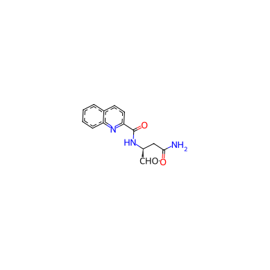 NC(=O)C[C@@H]([C]=O)NC(=O)c1ccc2ccccc2n1